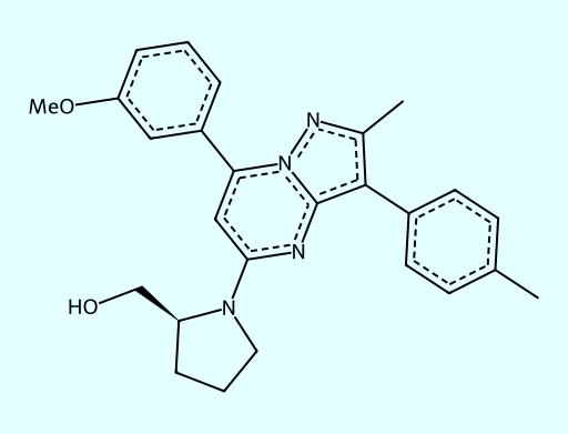 COc1cccc(-c2cc(N3CCC[C@H]3CO)nc3c(-c4ccc(C)cc4)c(C)nn23)c1